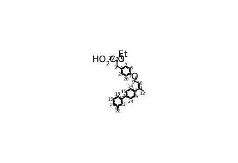 CCOC(Cc1ccc(OC/C=C(/C)c2ccc(-c3cccc(C)c3)cc2)cc1)C(=O)O